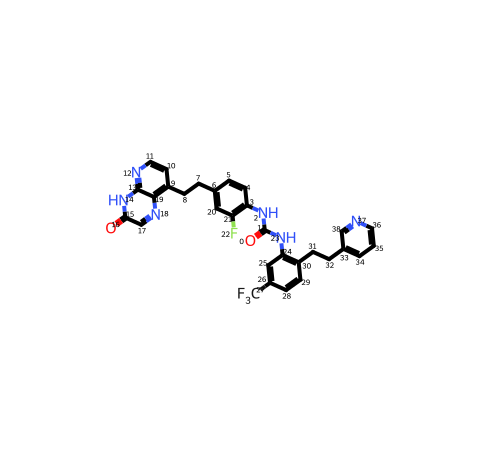 O=C(Nc1ccc(CCc2ccnc3[nH]c(=O)cnc23)cc1F)Nc1cc(C(F)(F)F)ccc1CCc1cccnc1